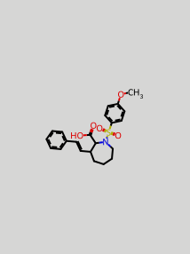 COc1ccc(S(=O)(=O)N2CCCCC(C=Cc3ccccc3)C2C(=O)O)cc1